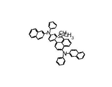 C[Si]1(C)c2cc(N(c3ccccc3)c3ccc4ccccc4c3)ccc2-c2ccc(N(c3ccccc3)c3ccc4ccccc4c3)c3cccc1c23